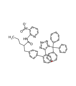 CCCC(Cc1ccc(-c2ccccc2-c2nnnn2C(c2ccccc2)(c2ccccc2)c2ccccc2)cc1)C(=O)Nc1ncccc1[N+](=O)[O-]